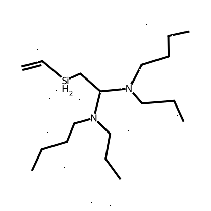 C=C[SiH2]CC(N(CCC)CCCC)N(CCC)CCCC